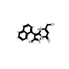 O=c1cc(CCl)[nH]c2c(-c3cccc4ccccc34)c(Cl)nn12